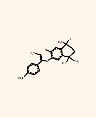 C/C=C(/Oc1cc2c(cc1I)C(C)(C)CCC2(C)C)c1ccc(C(=O)O)cc1